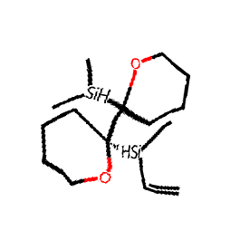 C=C[SiH](C)[C@@]1(C2([SiH](C)C)CCCCO2)CCCCO1